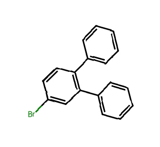 Brc1ccc(-c2ccccc2)c(-c2ccccc2)c1